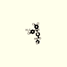 Cc1cc(-n2c(N3CCC(C(=O)NC4CCOC4)CC3)nc3cc(Cl)c(Cl)cc32)ccc1Cl